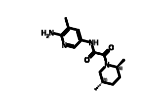 Cc1cc(NC(=O)C(=O)N2C[C@@H](C)CC[C@@H]2C)cnc1N